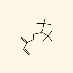 C=CC(=C)CCN(C(C)(C)C)C(C)(C)C